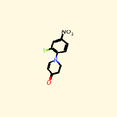 O=C1C=CN(c2ccc([N+](=O)[O-])cc2F)CC1